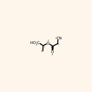 CC(OC(=O)CC#N)C(=O)O